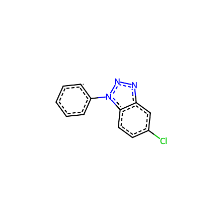 Clc1ccc2c(c1)nnn2-c1[c]cccc1